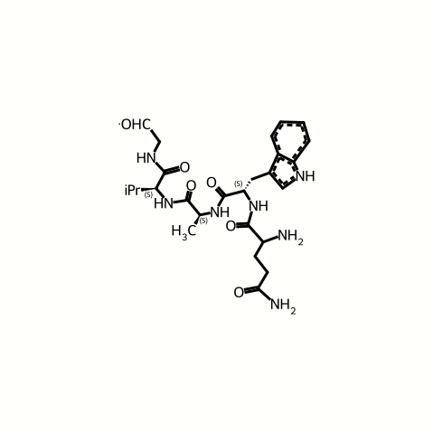 CC(C)[C@H](NC(=O)[C@H](C)NC(=O)[C@H](Cc1c[nH]c2ccccc12)NC(=O)C(N)CCC(N)=O)C(=O)NC[C]=O